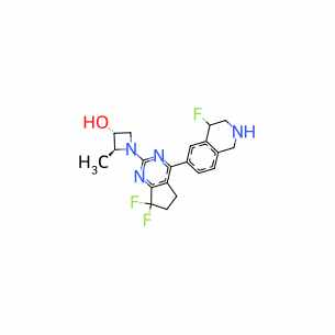 C[C@H]1[C@H](O)CN1c1nc(-c2ccc3c(c2)C(F)CNC3)c2c(n1)C(F)(F)CC2